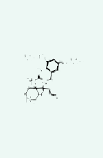 C=CCC1(O)N(Cc2cc(OC)cc(OC)c2)C(=O)N(CC)C12CCNCC2